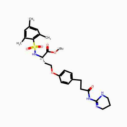 Cc1cc(C)c(S(=O)(=O)N[C@@H](CCOc2ccc(CCC(=O)NC3=NCCCN3)cc2)C(=O)OC(C)(C)C)c(C)c1